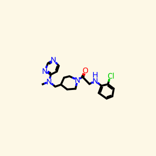 CN(CC1CCN(C(=O)CNc2ccccc2Cl)CC1)c1ccncn1